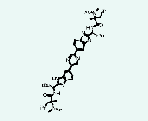 CC(=O)N(C)C(C)(CC(C)C)C(=O)N[C@H](c1nc2ccc(-c3cnc(-c4ccc5nc([C@@H](NC(=O)C(C)(CC(C)C)N(C)C(C)=O)C(C)(C)C)[nH]c5c4)cn3)cc2[nH]1)C(C)(C)C